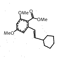 COC(=O)c1c(C=CC2CCCCC2)cc(OC)cc1OC